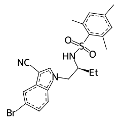 CC[C@@H](Cn1cc(C#N)c2cc(Br)ccc21)NS(=O)(=O)c1c(C)cc(C)cc1C